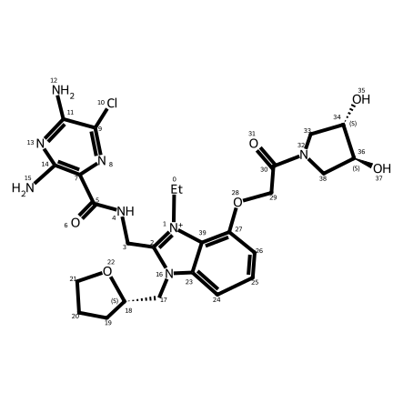 CC[n+]1c(CNC(=O)c2nc(Cl)c(N)nc2N)n(C[C@@H]2CCCO2)c2cccc(OCC(=O)N3C[C@H](O)[C@@H](O)C3)c21